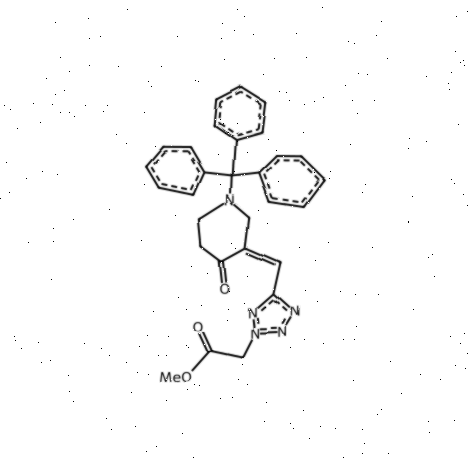 COC(=O)Cn1nnc(C=C2CN(C(c3ccccc3)(c3ccccc3)c3ccccc3)CCC2=O)n1